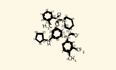 Cc1ccc(NC(=O)[C@H]2CCCN(S(=O)(=O)c3ccccc3C)[C@H]2c2ccc(NC3CCCC3)cc2)cc1C(F)(F)F